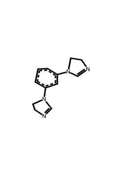 C1=NCCN1c1cccc(N2C=NCC2)c1